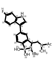 CC(=O)N(C)CC1c2cc(-c3c[nH]c4cc(F)ccc34)ccc2S(O)(O)N1C(C)(C)C